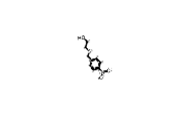 O=[N+]([O-])c1ccc(CSCCO)cc1